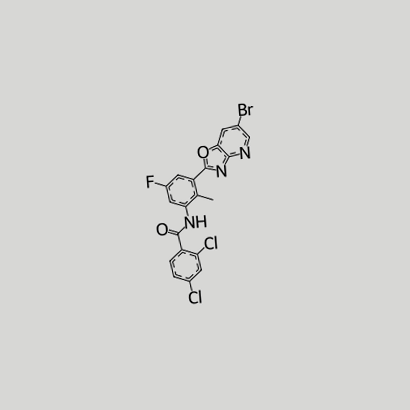 Cc1c(NC(=O)c2ccc(Cl)cc2Cl)cc(F)cc1-c1nc2ncc(Br)cc2o1